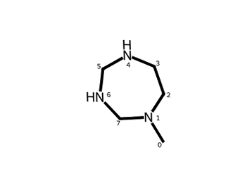 CN1CCNCNC1